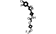 O=C(CO[C@H]1C[C@@H](OC(F)(F)F)C1)NC12CC(c3cc(-c4ccc(Cl)c(F)c4)no3)(C1)C2